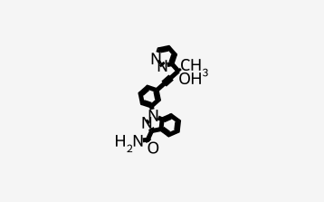 C[C@@](O)(C#Cc1cccc(-n2nc(C(N)=O)c3ccccc32)c1)c1cccnn1